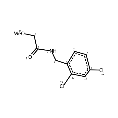 COCC(=O)NCc1ccc(Cl)cc1Cl